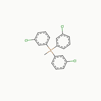 CS(c1cccc(Cl)c1)(c1cccc(Cl)c1)c1cccc(Cl)c1